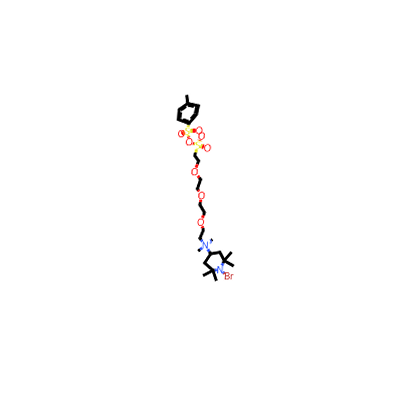 Cc1ccc(S(=O)(=O)OS(=O)(=O)CCOCCOCCOCC[N+](C)(C)C2CC(C)(C)N(Br)C(C)(C)C2)cc1